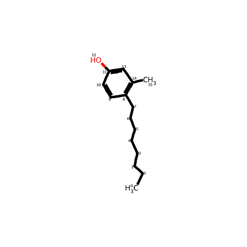 CCCCCCCCc1ccc(O)cc1C